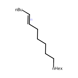 [CH2]CCC/C=C/CCCCCCCCCC[CH2]